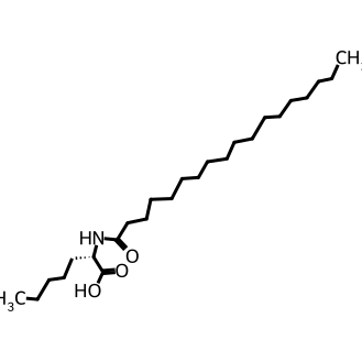 CCCCCCCCCCCCCCCCCC(=O)N[C@@H](CCCCC)C(=O)O